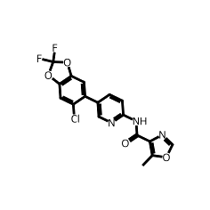 Cc1ocnc1C(=O)Nc1ccc(-c2cc3c(cc2Cl)OC(F)(F)O3)cn1